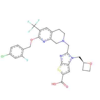 O=C(O)c1cc2c(nc(CN3CCc4cc(C(F)(F)F)c(OCc5ccc(Cl)cc5F)nc4C3)n2C[C@@H]2CCO2)s1